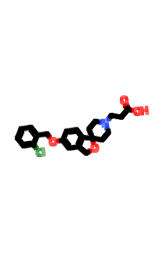 O=C(O)CCN1CCC2(CC1)OCc1cc(OCc3ccccc3Cl)ccc12